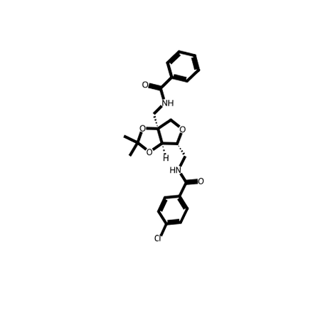 CC1(C)O[C@@H]2[C@@H](CNC(=O)c3ccc(Cl)cc3)OC[C@]2(CNC(=O)c2ccccc2)O1